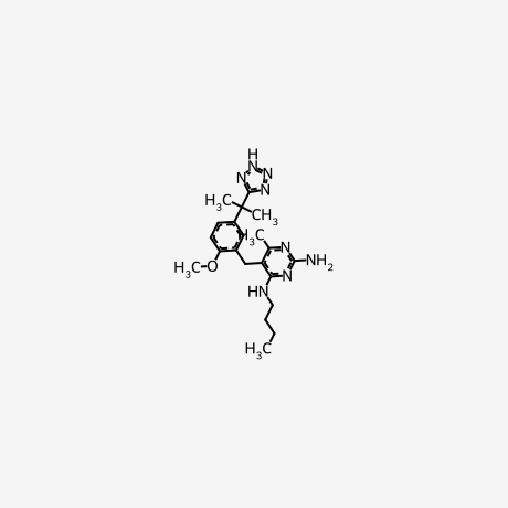 CCCCNc1nc(N)nc(C)c1Cc1cc(C(C)(C)c2nn[nH]n2)ccc1OC